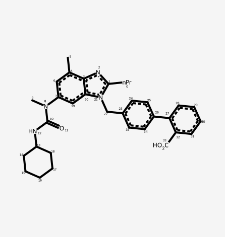 CCCc1nc2c(C)cc(N(C)C(=O)NC3CCCCC3)cc2n1Cc1ccc(-c2ccccc2C(=O)O)cc1